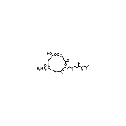 CC(C)=CC(=O)N/C=C/C(C)=C/[C@H](C)[C@@H]1C/C(C)=C/C=C/CC[C@@H](OC(N)=O)[C@H](C)/C=C/[C@H](O)CCC/C=C/C(=O)O1